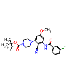 COc1cc(NC(=O)c2cccc(F)c2)c(C#N)c(N2CCN(C(=O)OC(C)(C)C)CC2)c1